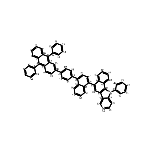 c1ccc(-c2c3ccccc3c(-c3ccccc3)c3cc(-c4ccc(-c5ccc(-c6cc7c8cnccc8n(-c8ccccc8)c7c7ccccc67)c6ccccc56)cc4)ccc23)cc1